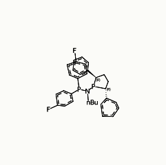 CCCCN(P(c1ccc(F)cc1)c1ccc(F)cc1)P1[C@@H](c2ccccc2)CC[C@@H]1c1ccccc1